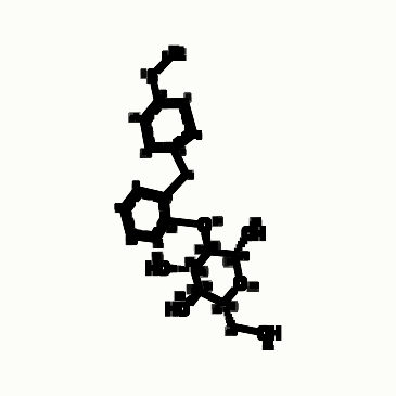 CCSc1ccc(Cc2ccccc2O[C@@H]2[C@@H](O)[C@H](O)[C@@H](CO)O[C@H]2O)cc1